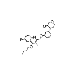 CCCCOc1c(C)c(COc2cccc(N3CCOCC3=O)c2)nc2ccc(F)cc12